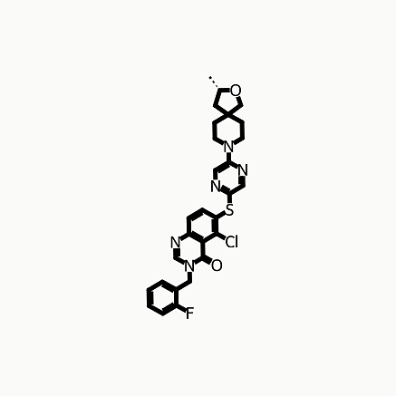 C[C@H]1CC2(CCN(c3cnc(Sc4ccc5ncn(Cc6ccccc6F)c(=O)c5c4Cl)cn3)CC2)CO1